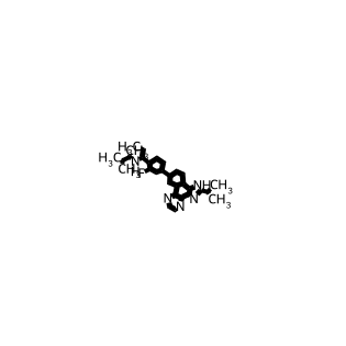 C/C=C(\NC(C)C(C)C)c1ccc(-c2ccc3c(c2)c2nccnc2c2nc(C(C)C)[nH]c32)cc1F